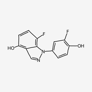 Oc1ccc(-n2ncc3c(O)ccc(F)c32)cc1F